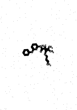 CC=CCOC1C(C)(C)C1(C)C(=O)Oc1cccc(Oc2ccccc2)n1